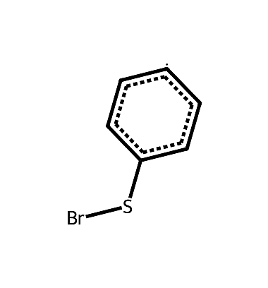 BrSc1cc[c]cc1